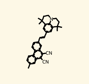 Cc1ccc2c(c1)c(C#N)c(C#N)c1cc(C=Cc3cc4c5c(c3)C(C)(C)CCN5CCC4(C)C)ccc12